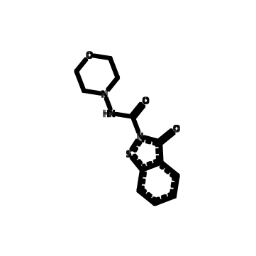 O=C(NN1CCOCC1)n1sc2ccccc2c1=O